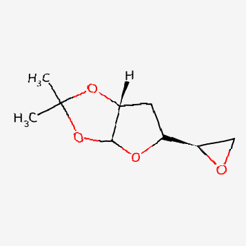 CC1(C)OC2OC([C@H]3CO3)C[C@H]2O1